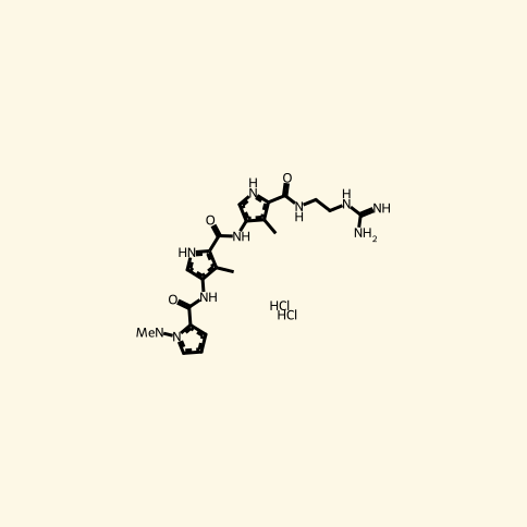 CNn1cccc1C(=O)Nc1c[nH]c(C(=O)Nc2c[nH]c(C(=O)NCCNC(=N)N)c2C)c1C.Cl.Cl